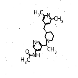 CC(=O)Nc1cncc([C@@H](C)N2CCC[C@H](Cc3cc(C)nc(C)c3)C2)c1